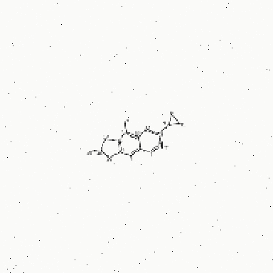 Cc1c2c(cc3cnc(C4CC4)cc13)CC(C)C2